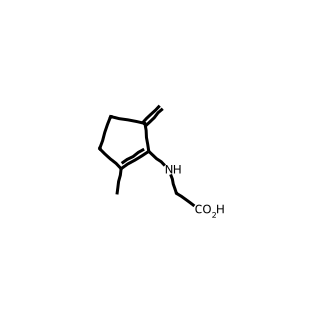 C=C1CCC(C)=C1NCC(=O)O